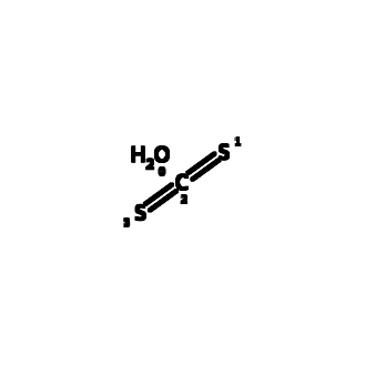 O.S=C=S